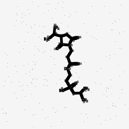 CC(C)CP(=O)(O)CCNC(=O)CCN1C(=O)CC(C(C)C)C1=O